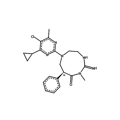 Cc1nc(N2CCNC(=N)N(C)C(=O)[C@@H](c3ccccc3)C2)nc(C2CC2)c1Cl